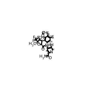 [2H]c1cnc(C(N)=O)cc1NC(=O)[C@H]1O[C@@](C)(C(F)(F)F)[C@@H](C)[C@H]1c1ccc(F)c(F)c1OC